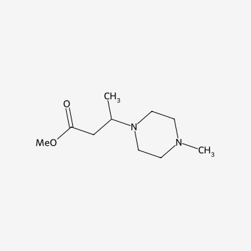 COC(=O)CC(C)N1CCN(C)CC1